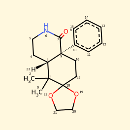 CC1(C)[C@@H]2CCNC(=O)[C@@]2(c2ccccc2)CCC12OCCO2